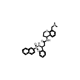 CN(C)Cc1cccc2c1OCCC2NC(=O)CC(NS(=O)(=O)c1ccc2ccccc2c1)c1ccccc1